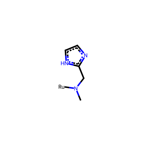 C[N]([Ru])Cc1ncc[nH]1